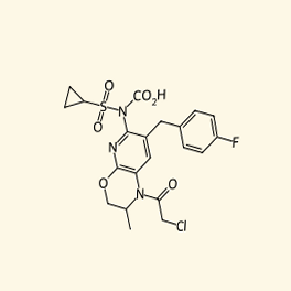 CC1COc2nc(N(C(=O)O)S(=O)(=O)C3CC3)c(Cc3ccc(F)cc3)cc2N1C(=O)CCl